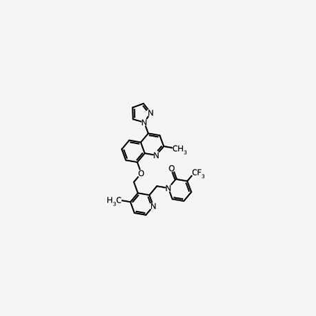 Cc1cc(-n2cccn2)c2cccc(OCc3c(C)ccnc3Cn3cccc(C(F)(F)F)c3=O)c2n1